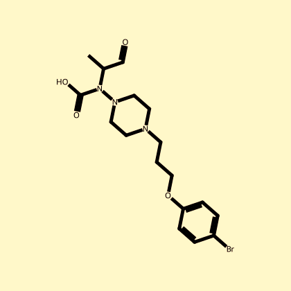 CC(C=O)N(C(=O)O)N1CCN(CCCOc2ccc(Br)cc2)CC1